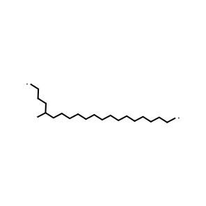 [CH2]CCCCCCCCCCCCCCCC(C)CCC[CH2]